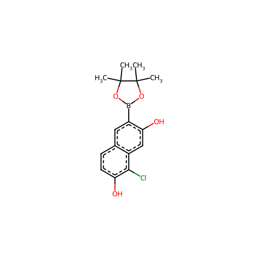 CC1(C)OB(c2cc3ccc(O)c(Cl)c3cc2O)OC1(C)C